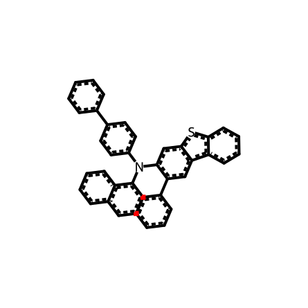 c1ccc(-c2ccc(N(c3cc4sc5ccccc5c4cc3-c3ccccc3)c3cccc4ccccc34)cc2)cc1